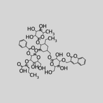 CCC[C@H](OC1C(OC(=O)c2ccccc2)[C@H](O[C@@H]2CC(CO[C@H]3OC(CO)[C@@H](O)C(OCc4cc5ccccc5oc4=O)C3O)CC(CC)C2O[C@@H]2OC(C)[C@H](O)C(O)C2O)OC(CO)[C@@H]1O)C(=O)O